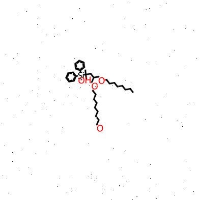 CCCCCCCCOCC(COCCCCCCCCC=O)CC(C)(C)[Si](O)(c1ccccc1)c1ccccc1